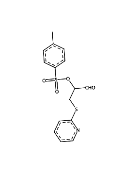 Cc1ccc(S(=O)(=O)OC(C=O)CSc2ccccn2)cc1